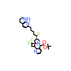 CC(C)(C)OC(=O)C(c1cccnc1C1CC(F)(F)C1)N1CC[C@@H](C(F)CCCCc2ccc3c(n2)NCCC3)C1